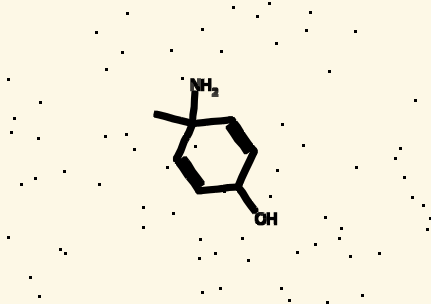 CC1(N)C=CC(O)C=C1